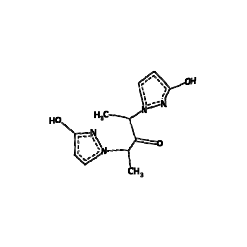 CC(C(=O)C(C)n1ccc(O)n1)n1ccc(O)n1